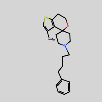 COc1csc2c1C1(CCN(CCCCc3ccccc3)CC1)OCC2